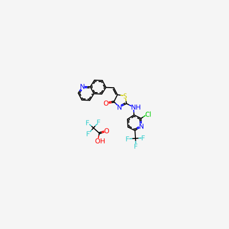 O=C(O)C(F)(F)F.O=C1N=C(Nc2ccc(C(F)(F)F)nc2Cl)SC1=Cc1ccc2ncccc2c1